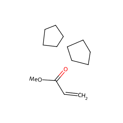 C1CCCC1.C1CCCC1.C=CC(=O)OC